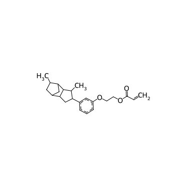 C=CC(=O)OCCOc1cccc(C2CC3C4CC(C)C(C4)C3C2C)c1